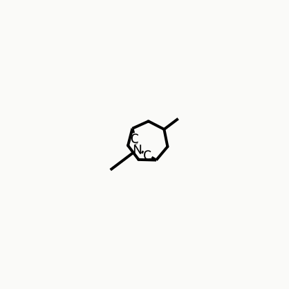 CC1CC2CCC(C1)CN(C)C2